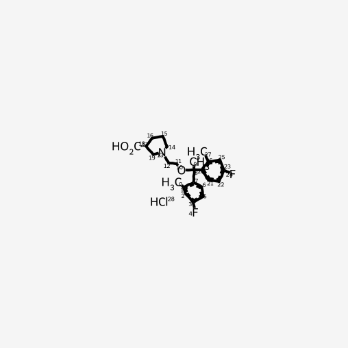 Cc1cc(F)ccc1C(C)(OCCN1CCC[C@@H](C(=O)O)C1)c1ccc(F)cc1C.Cl